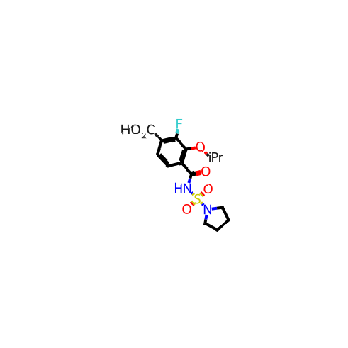 CC(C)Oc1c(C(=O)NS(=O)(=O)N2CCCC2)ccc(C(=O)O)c1F